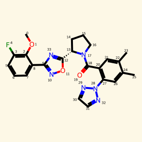 COc1c(F)cccc1-c1noc([C@@H]2CCCN2C(=O)c2cc(C)c(C)cc2-n2nccn2)n1